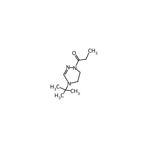 CCC(=O)N1CCN(C(C)(C)C)C=N1